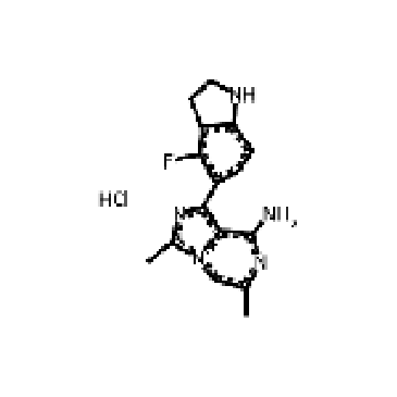 Cc1cn2c(C)nc(-c3ccc4c(c3F)CCN4)c2c(N)n1.Cl